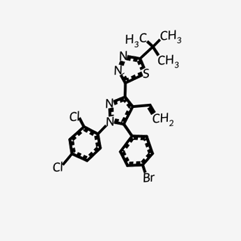 C=Cc1c(-c2nnc(C(C)(C)C)s2)nn(-c2ccc(Cl)cc2Cl)c1-c1ccc(Br)cc1